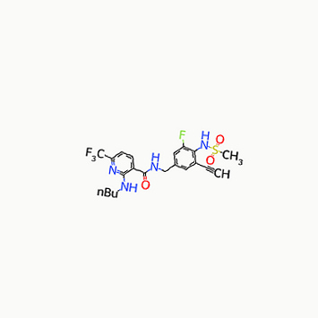 C#Cc1cc(CNC(=O)c2ccc(C(F)(F)F)nc2NCCCC)cc(F)c1NS(C)(=O)=O